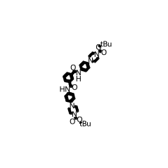 CC(C)(C)OC(=O)N1CCN(c2ccc(NC(=O)c3cccc(C(=O)Nc4ccc(N5CCN(C(=O)OC(C)(C)C)CC5)cc4)c3)cc2)CC1